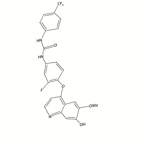 COc1cc2c(Oc3ccc(NC(=O)Nc4ccc(C(F)(F)F)cc4)cc3F)ccnc2cc1O